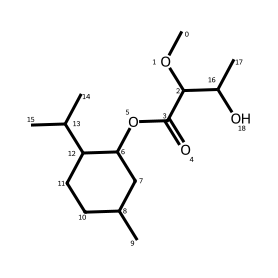 COC(C(=O)OC1CC(C)CCC1C(C)C)C(C)O